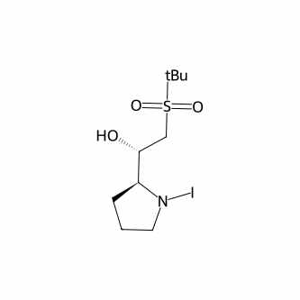 CC(C)(C)S(=O)(=O)C[C@@H](O)[C@@H]1CCCN1I